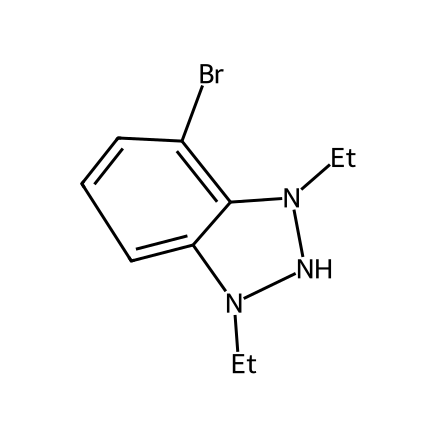 CCN1NN(CC)c2c(Br)cccc21